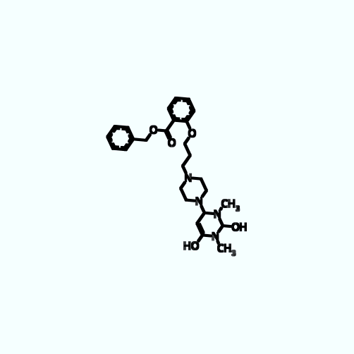 CN1C(O)=CC(N2CCN(CCCOc3ccccc3C(=O)OCc3ccccc3)CC2)N(C)C1O